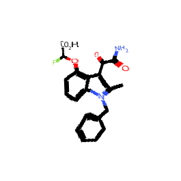 Cc1c(C(=O)C(N)=O)c2c(OC(F)C(=O)O)cccc2n1Cc1ccccc1